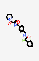 O=C(NCc1ccc(-c2nc(C(=O)N3CCCCC3)co2)cc1)C(F)c1ccccc1F